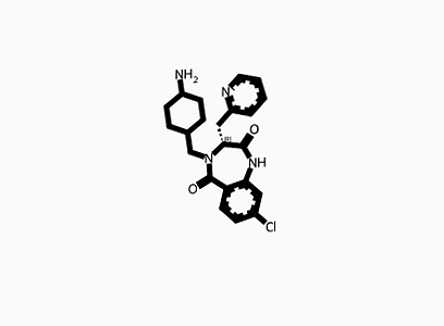 NC1CCC(CN2C(=O)c3ccc(Cl)cc3NC(=O)[C@H]2Cc2ccccn2)CC1